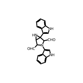 O=CC1C2NC2(c2c[nH]c3ccccc23)C(C=O)N1c1c[nH]c2ccccc12